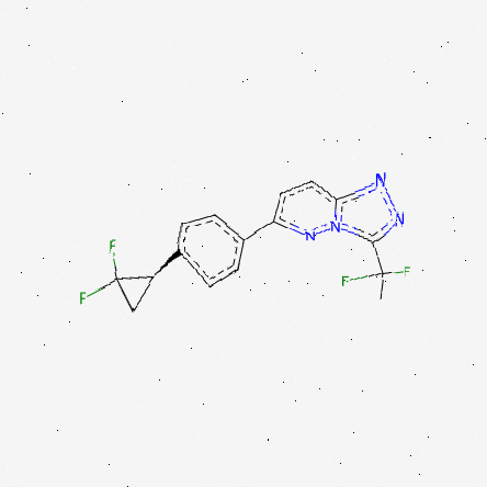 CC(F)(F)c1nnc2ccc(-c3ccc([C@H]4CC4(F)F)cc3)nn12